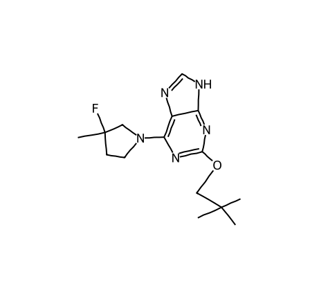 CC(C)(C)COc1nc(N2CCC(C)(F)C2)c2nc[nH]c2n1